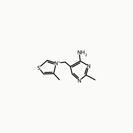 Cc1ncc(C[n+]2cscc2C)c(N)n1